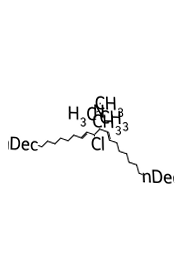 CCCCCCCCCCCCCCCCC=CC(C)C(Cl)C=CCCCCCCCCCCCCCCCC.CN(C)C